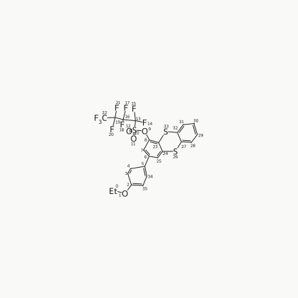 CCOc1ccc(-c2cc(OS(=O)(=O)C(F)(F)C(F)(F)C(F)(F)C(F)(F)F)c3c(c2)Sc2ccccc2S3)cc1